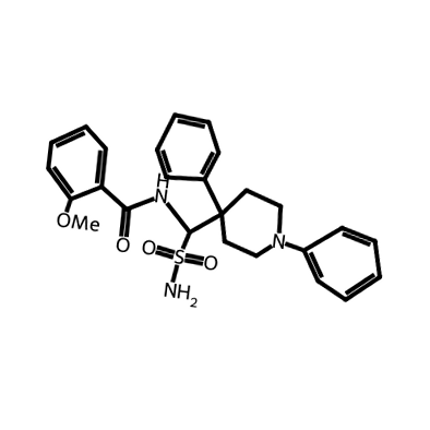 COc1ccccc1C(=O)NC(C1(c2ccccc2)CCN(c2ccccc2)CC1)S(N)(=O)=O